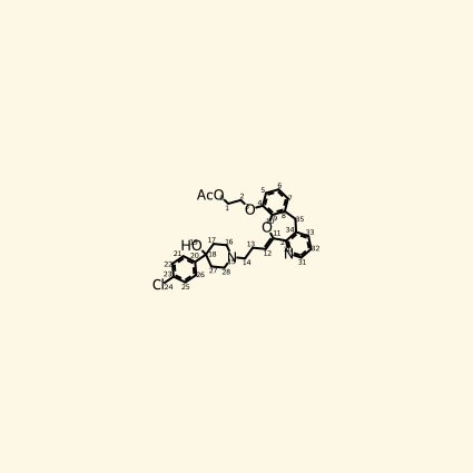 CC(=O)OCCOc1cccc2c1OC(=CCCN1CCC(O)(c3ccc(Cl)cc3)CC1)c1ncccc1C2